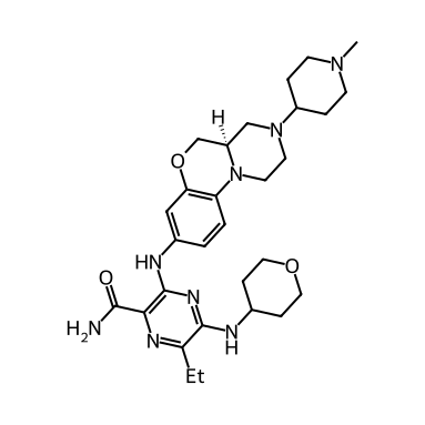 CCc1nc(C(N)=O)c(Nc2ccc3c(c2)OC[C@H]2CN(C4CCN(C)CC4)CCN32)nc1NC1CCOCC1